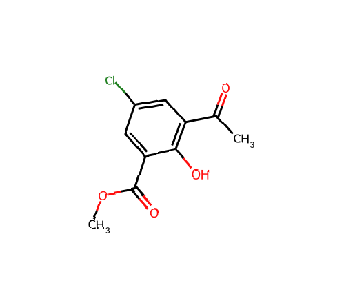 COC(=O)c1cc(Cl)cc(C(C)=O)c1O